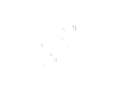 Cc1nc(CO)cc(Nc2ncc(F)c3nn(-c4c(F)cccc4Cl)cc23)n1.Cl